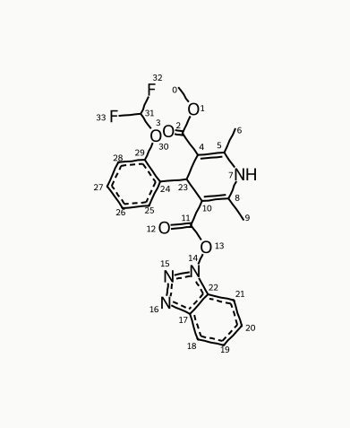 COC(=O)C1=C(C)NC(C)=C(C(=O)On2nnc3ccccc32)C1c1ccccc1OC(F)F